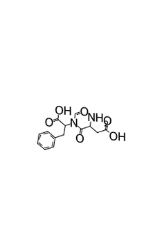 NC(CC(=O)O)C(=O)N(C=O)C(Cc1ccccc1)C(=O)O